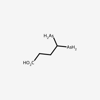 O=C(O)CCC([AsH2])[AsH2]